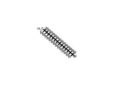 [CH2]C(Br)(Br)C(Br)(Br)C(Br)(Br)C(Br)(Br)C(Br)(Br)C(Br)(Br)C(Br)(Br)C(Br)(Br)C(Br)(Br)C(Br)(Br)C(Br)(Br)C(Br)(Br)C(Br)(Br)C(Br)(Br)Br